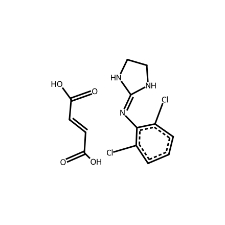 Clc1cccc(Cl)c1N=C1NCCN1.O=C(O)C=CC(=O)O